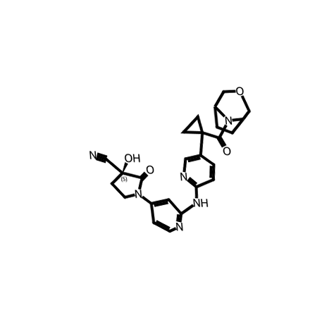 N#C[C@@]1(O)CCN(c2ccnc(Nc3ccc(C4(C(=O)N5C6CCC5COC6)CC4)cn3)c2)C1=O